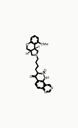 COc1cccc2c1[C@@H]1CN(CCCCC3C(=O)c4ccc5ncncc5c4N[N+]3=O)C[C@@H]1CO2